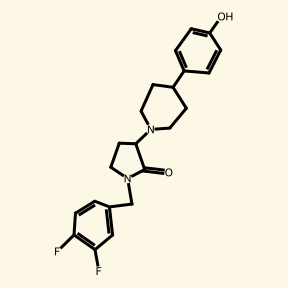 O=C1C(N2CCC(c3ccc(O)cc3)CC2)CCN1Cc1ccc(F)c(F)c1